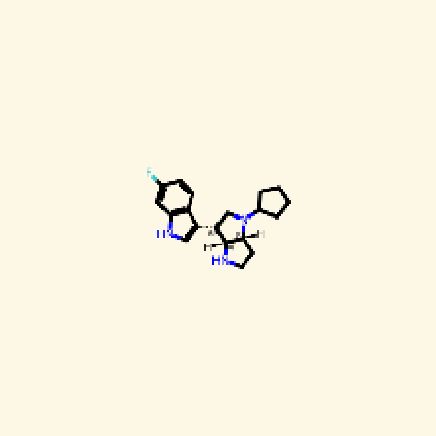 Fc1ccc2c([C@@H]3CN(C4CCCC4)[C@@H]4CCN[C@@H]43)c[nH]c2c1